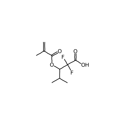 C=C(C)C(=O)OC(C(C)C)C(F)(F)C(=O)O